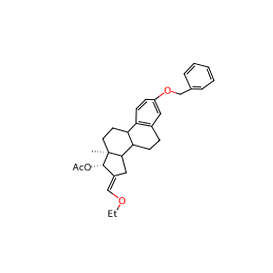 CCOC=C1CC2C3CCc4cc(OCc5ccccc5)ccc4C3CC[C@]2(C)[C@H]1OC(C)=O